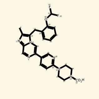 Cc1nc2cnc(-c3ccc(N4CCN(C(=O)O)CC4)nc3)cn2c1Cc1ccccc1OC(F)F